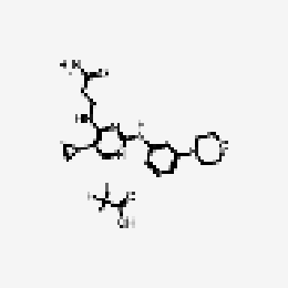 NC(=O)CCNc1nc(Nc2cccc(N3CCOCC3)c2)ncc1C1CC1.O=C(O)C(F)(F)F